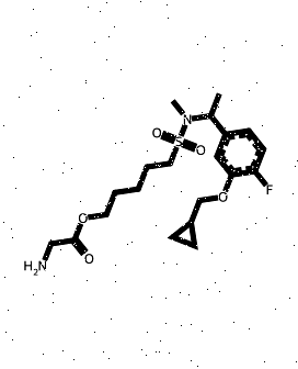 CC(c1ccc(F)c(OCC2CC2)c1)N(C)S(=O)(=O)CCCCCOC(=O)CN